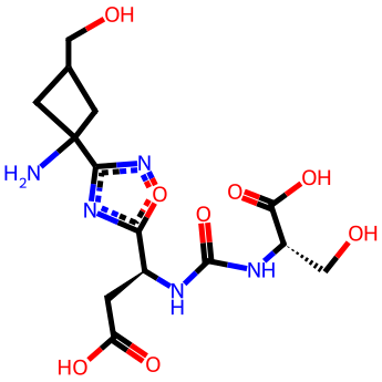 NC1(c2noc([C@H](CC(=O)O)NC(=O)N[C@@H](CO)C(=O)O)n2)CC(CO)C1